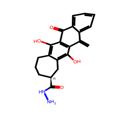 C=C1c2ccccc2C(=O)c2c(O)c3c(c(O)c21)C[C@@H](C(=O)NN)CCC3